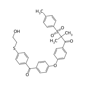 Cc1ccc(S(=O)(=O)C(C)(C)C(=O)c2ccc(Oc3ccc(C(=O)c4ccc(SCCO)cc4)cc3)cc2)cc1